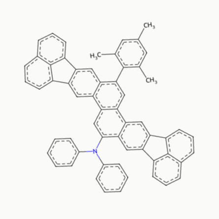 Cc1cc(C)c(-c2cc3c4cc5c(cc4c(N(c4ccccc4)c4ccccc4)cc3c3cc4c(cc23)-c2cccc3cccc-4c23)-c2cccc3cccc-5c23)c(C)c1